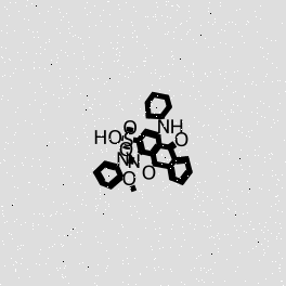 COc1ccccc1N=Nc1c(S(=O)(=O)O)cc(NC2CCCCC2)c2c1C(=O)c1ccccc1C2=O